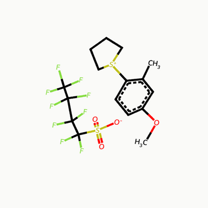 COc1ccc([S+]2CCCC2)c(C)c1.O=S(=O)([O-])C(F)(F)C(F)(F)C(F)(F)C(F)(F)F